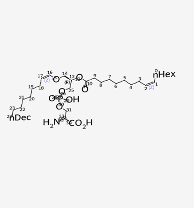 CCCCCC/C=C\CCCCCCCC(=O)O[C@H](CO/C=C\CCCCCCCCCCCCCCCC)COP(=O)(O)OC[C@H](N)C(=O)O